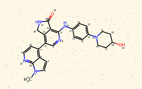 Cn1ccc2c(-c3cnc(Nc4ccc(N5CCC(O)CC5)cc4)c4c3CNC4=O)ccnc21